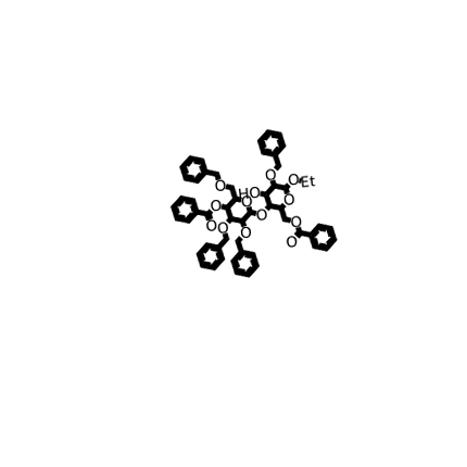 CCOC1OC(COC(=O)c2ccccc2)C(OC2OC(COCc3ccccc3)C(OC(=O)c3ccccc3)C(OCc3ccccc3)C2OCc2ccccc2)C(O)C1OCc1ccccc1